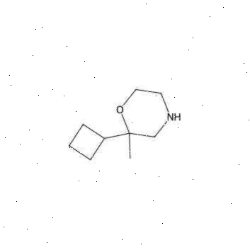 CC1(C2CCC2)CNCCO1